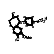 COc1cc2c(cc1Cl)CCN(C)C[C@@H]2c1ccc(C(=O)O)cc1